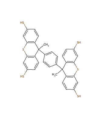 CC1(c2ccc(C3(C)c4ccc(S)cc4Sc4cc(S)ccc43)cc2)c2ccc(S)cc2Sc2cc(S)ccc21